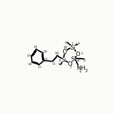 C[Si]1(C)O[Si](C)(N)O[Si](C)(CCc2ccccc2)O1